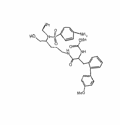 COC(=O)NC(Cc1ccccc1-c1ccc(OC)cc1)C(=O)NCCCC(CO)N(CC(C)C)S(=O)(=O)c1ccc(N)cc1